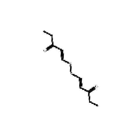 CCC(=O)C=CSSC=CC(=O)CC